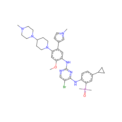 COc1cc(N2CCC(N3CCN(C)CC3)CC2)c(-c2ccn(C)c2)cc1Nc1ncc(Br)c(Nc2ccc(C3CC3)cc2P(C)(C)=O)n1